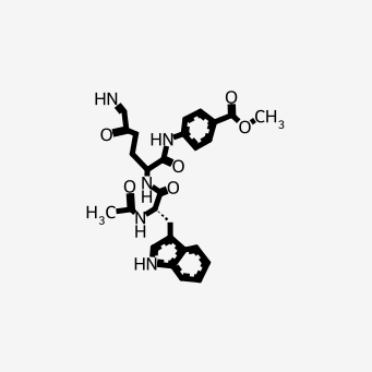 COC(=O)c1ccc(NC(=O)C(CCC(=O)C=N)NC(=O)[C@H](Cc2c[nH]c3ccccc23)NC(C)=O)cc1